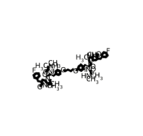 CN[C@@H](C)C(=O)N[C@@H](Cc1ccc(OCCCCOc2ccc(C[C@H](NC(=O)[C@H](C)NC)C(=O)N3CC(C)(C)c4[nH]c(=O)c(Cc5ccc(F)cc5)cc43)cc2)cc1)C(=O)N1CC(C)(C)c2[nH]c(=O)c(Cc3ccc(F)cc3)cc21